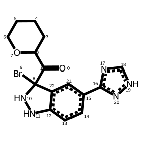 O=C(C1CCCCO1)C1(Br)NNc2ccc(-c3nc[nH]n3)cc21